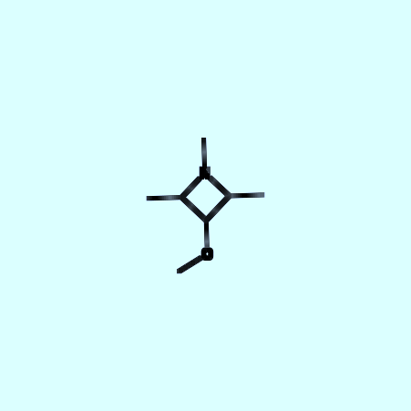 COC1C(C)N(C)C1C